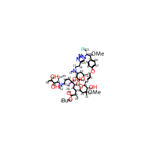 C=CCOc1ccc([C@@H](OC)[C@@H](CF)n2cc(CCN(C)[C@@H]3C[C@H](O[C@H]([C@@H](C)[C@H](C4C[C@@](C)(OC)[C@@H](O)[C@H](C)O4)[C@@H](C)C(=O)O[C@@H](C)CC)[C@@](O)(I)C[C@@H](C)CN(C)[C@H](C)[C@@H](O)C(C)O)O[C@H](C)C3)nn2)cc1